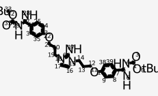 CC(C)(C)OC(=O)NC(=N)c1ccc(OCCCn2ccn(CCCOc3ccc(C(=N)NC(=O)OC(C)(C)C)cc3)c2=N)cc1